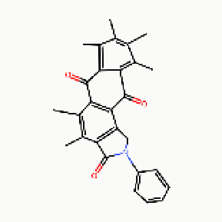 Cc1c(C)c(C)c2c(c1C)C(=O)c1c(C)c(C)c3c(c1C2=O)CN(c1ccccc1)C3=O